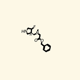 CN(CC(=O)OCc1ccccc1)C[C@H]1CNCC1F